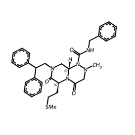 CSCC[C@H]1C(=O)N(CC(c2ccccc2)c2ccccc2)C[C@H]2N1C(=O)CN(C)N2C(=O)NCc1ccccc1